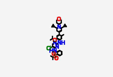 Cc1cc(Nc2ncc(Cl)c(Nc3ccccc3S(=O)(=O)C(C)C)n2)c(OC(C)C)cc1C1=CC(C2CC2)N(C2CCOCC2)C(C2CC2)C1